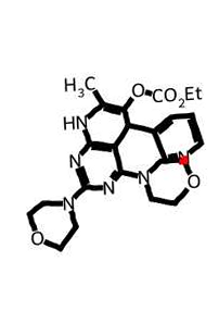 CCOC(=O)OC1=C(C)Nc2nc(N3CCOCC3)nc(N3CCOCC3)c2C1c1cccnc1